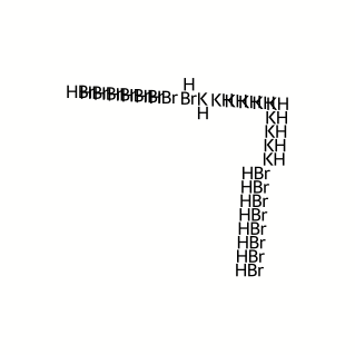 Br.Br.Br.Br.Br.Br.Br.Br.Br.Br.Br.Br.Br.Br.Br.Br.[KH].[KH].[KH].[KH].[KH].[KH].[KH].[KH].[KH].[KH]